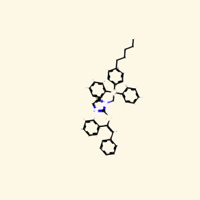 CCCCCc1ccc([Si](Cn2ccnc2BC(=Cc2ccccc2)c2ccccc2)(c2ccccc2)c2ccccc2)cc1